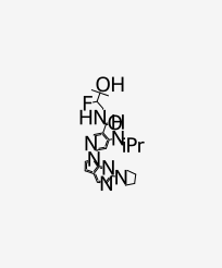 CC(C)Nc1cc(-n2ccc3cnc(N4CCCC4)nc32)ncc1C(=O)NCC(F)C(C)(C)O